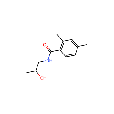 Cc1ccc(C(=O)NCC(C)O)c(C)c1